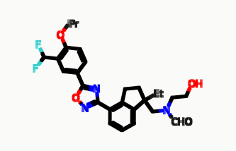 CCC1(CN(C=O)CCO)CCc2c(-c3noc(-c4ccc(OC(C)C)c(C(F)F)c4)n3)cccc21